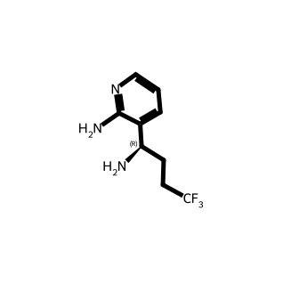 Nc1ncccc1[C@H](N)CCC(F)(F)F